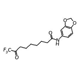 O=C(CCCCCCC(=O)C(F)(F)F)Nc1ccc2c(c1)OCO2